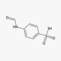 O=CNc1ccc(S(=O)(=O)S)cc1